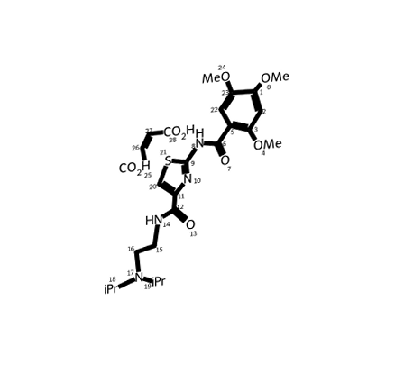 COc1cc(OC)c(C(=O)Nc2nc(C(=O)NCCN(C(C)C)C(C)C)cs2)cc1OC.O=C(O)/C=C\C(=O)O